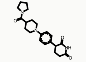 O=C1CCC(c2ccc(N3CCC(C(=O)N4CCCC4)CC3)cc2)C(=O)N1